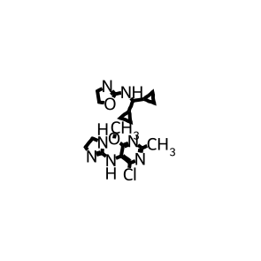 C1COC(NC(C2CC2)C2CC2)=N1.COc1nc(C)nc(Cl)c1NC1=NCCN1